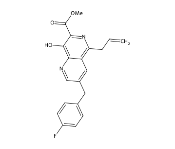 C=CCc1nc(C(=O)OC)c(O)c2ncc(Cc3ccc(F)cc3)cc12